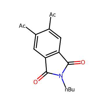 CCCCN1C(=O)c2cc(C(C)=O)c(C(C)=O)cc2C1=O